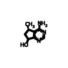 C[C@@H]1CC(O)c2ncnc(N)c21